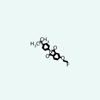 CN(C)c1ccc(N2C(=O)c3ccc(OCCF)cc3C2=O)cc1